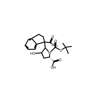 CC(C)(C)OC(=O)N1C(C2(C(N)=O)CCc3ccccc32)C(O)C[C@H]1C(=O)O